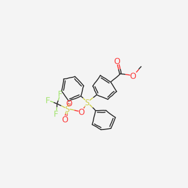 COC(=O)c1ccc(S(OS(=O)(=O)C(F)(F)F)(c2ccccc2)c2ccccc2)cc1